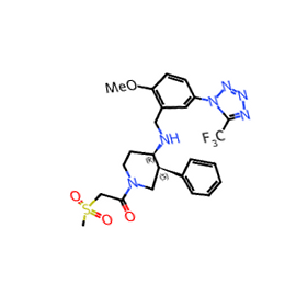 COc1ccc(-n2nnnc2C(F)(F)F)cc1CN[C@@H]1CCN(C(=O)CS(C)(=O)=O)C[C@@H]1c1ccccc1